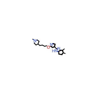 Cc1ccc2[nH]c(-c3ccnc(OCCCCC4CCN(C)CC4)c3)nc2c1C